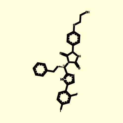 O=C1NC(c2ccc(OCCO)cc2)C(=O)N1[C@@H](CCc1ccccc1)c1ncc(-c2ccc(I)cc2F)[nH]1